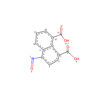 O=Nc1ccc(C(=O)O)c2c(C(=O)O)cccc12